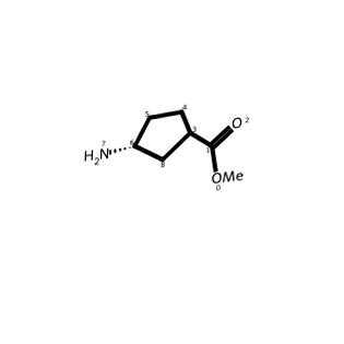 COC(=O)C1CC[C@@H](N)C1